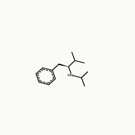 CC(C)N[C@@H](Cc1ccccc1)C(C)C